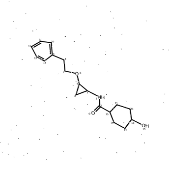 O=C(NC1CC1OCCc1ccccc1)C1CCC(O)CC1